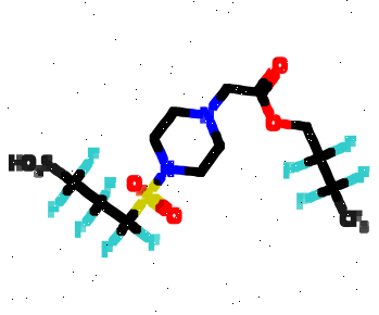 O=C(CN1CCN(S(=O)(=O)C(F)(F)C(F)(F)C(F)(F)S(=O)(=O)O)CC1)OCC(F)(F)C(F)(F)C(F)(F)F